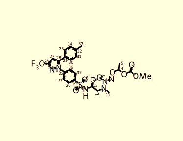 COC(=O)OC(C)O/N=[N+](\[O-])N(C)CC(=O)NS(=O)(=O)c1ccc(-n2nc(C(F)(F)F)cc2-c2ccc(C)cc2)cc1